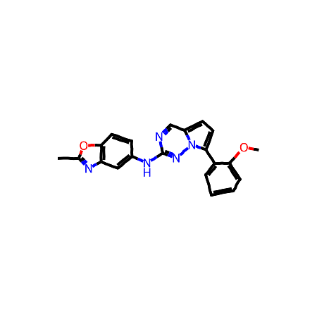 COc1ccccc1-c1ccc2cnc(Nc3ccc4oc(C)nc4c3)nn12